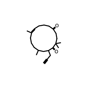 C#CCC1CC(C)CCCC(C)=CCCCC(=O)CCC(C)(C)C1=O